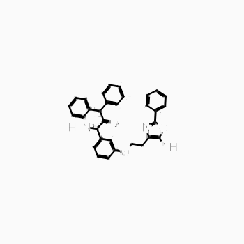 Cc1oc(-c2ccccc2)nc1CCOc1[c]c(C(N)C(=O)C(c2ccccc2)c2ccccc2)ccc1